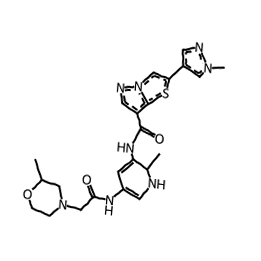 CC1CN(CC(=O)NC2=CNC(C)C(NC(=O)c3cnn4cc(-c5cnn(C)c5)sc34)=C2)CCO1